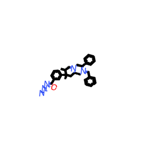 CC1CN2CC(c3ccccc3)N(Cc3ccccc3)CC2CC1(C)c1cccc(C(=O)N=[N+]=[N-])c1